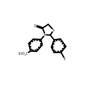 CCOC(=O)c1ccc(N2C(=O)CSC2c2ccc(F)cc2)cc1